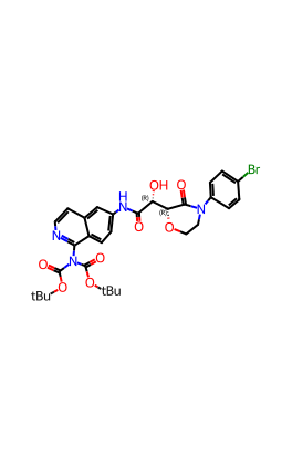 CC(C)(C)OC(=O)N(C(=O)OC(C)(C)C)c1nccc2cc(NC(=O)[C@H](O)[C@H]3OCCN(c4ccc(Br)cc4)C3=O)ccc12